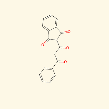 O=C(CC(=O)C1C(=O)c2ccccc2C1=O)c1ccccc1